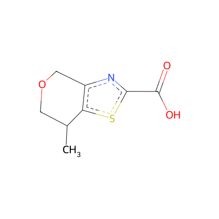 CC1COCc2nc(C(=O)O)sc21